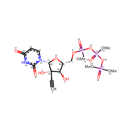 C#C[C@]1(O)[C@H](O)[C@@H](COP(=O)(OC)OP(=O)(OC)OP(=O)(OC)OC)O[C@H]1n1ccc(=O)[nH]c1=O